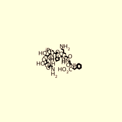 CC(C)C[C@H](NC(=O)[C@@H](NC(=O)[C@@H](NC(=O)CN)[C@@H](C)O)[C@@H](C)O)C(=O)N1CCC[C@H]1C(=O)N[C@@H](CCCCN)C(=O)NCC(=O)N[C@@H](Cc1ccccc1)C(=O)O